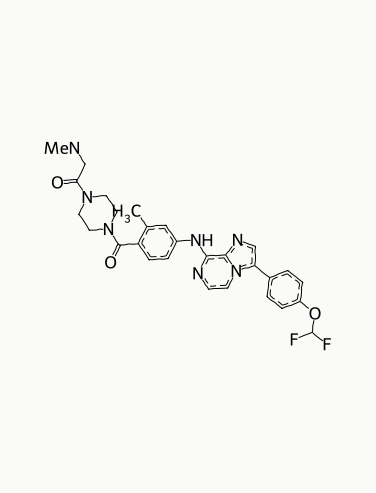 CNCC(=O)N1CCN(C(=O)c2ccc(Nc3nccn4c(-c5ccc(OC(F)F)cc5)cnc34)cc2C)CC1